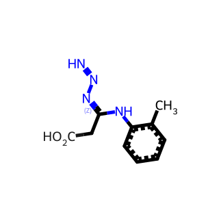 Cc1ccccc1N/C(CC(=O)O)=N\N=N